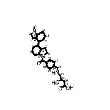 CN1CCc2c(-c3cccc4c3CCN4C(=O)c3ccc(CNCC(O)CC(=O)O)cc3)cccc21